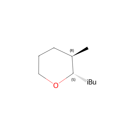 CCC(C)[C@@H]1OCCC[C@H]1C